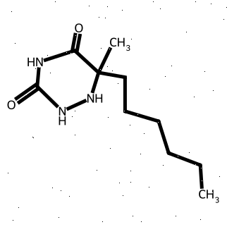 CCCCCCC1(C)NNC(=O)NC1=O